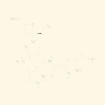 CO[C@H]1C[C@@](CC#N)(n2cc(-c3nc(-c4cc(CO)[nH]n4)cn4nccc34)c(N)n2)C1